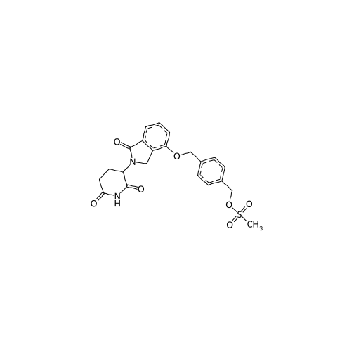 CS(=O)(=O)OCc1ccc(COc2cccc3c2CN(C2CCC(=O)NC2=O)C3=O)cc1